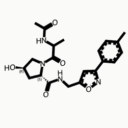 CC(=O)NC(C)C(=O)N1C[C@H](O)C[C@H]1C(=O)NCc1cc(-c2ccc(C)cc2)no1